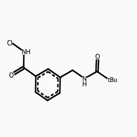 CC(C)(C)C(=O)NCc1cccc(C(=O)NCl)c1